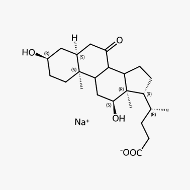 C[C@H](CCC(=O)[O-])[C@H]1CCC2C3C(=O)C[C@@H]4C[C@H](O)CC[C@]4(C)C3C[C@H](O)[C@@]21C.[Na+]